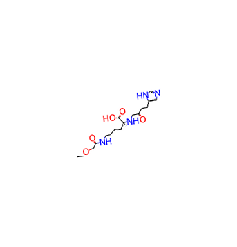 CCOCC(=O)NCCCC[C@H](NCC(=O)CCc1cnc[nH]1)C(=O)O